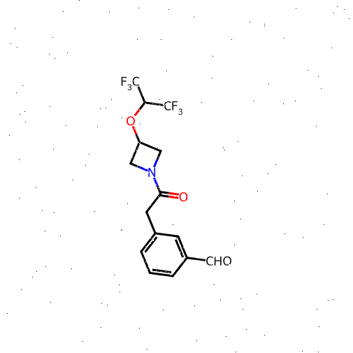 O=Cc1cccc(CC(=O)N2CC(OC(C(F)(F)F)C(F)(F)F)C2)c1